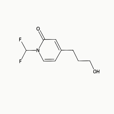 O=c1cc(CCCO)ccn1C(F)F